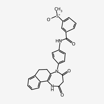 C[S+]([O-])c1cccc(C(=O)Nc2ccc(N3C(=O)CC(=O)NC4=C3CCc3ccccc34)cc2)c1